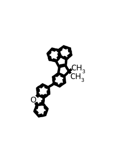 CC1(C)C2=C(c3cc(-c4ccc5oc6ccccc6c5c4)ccc31)c1cccc3cccc2c13